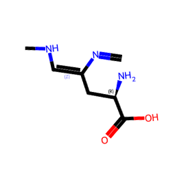 C=N/C(=C\NC)C[C@@H](N)C(=O)O